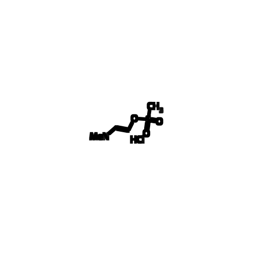 CNC=COS(C)(=O)=O.Cl